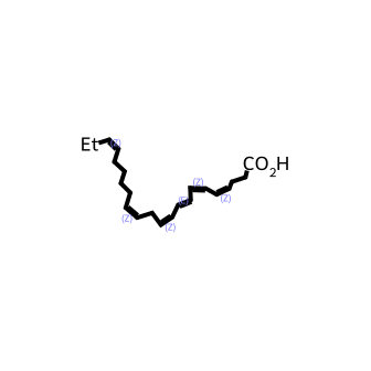 CC/C=C\CCCC/C=C\C\C=C/C=C/C=C\C=C/CCC(=O)O